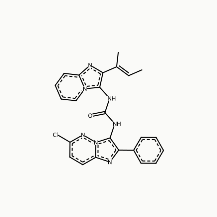 C/C=C(\C)c1nc2ccccn2c1NC(=O)Nc1c(-c2ccccc2)nc2ccc(Cl)nn12